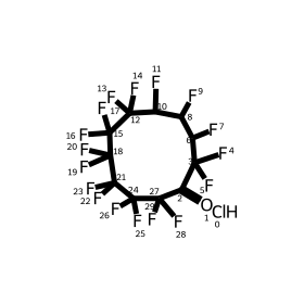 Cl.O=C1C(F)(F)C(F)C(F)C(F)C(F)(F)C(F)(F)C(F)(F)C(F)(F)C(F)(F)C1(F)F